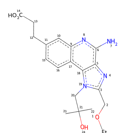 CCOCc1nc2c(N)nc3cc(CCC(=O)O)ccc3c2n1CC(C)(C)O